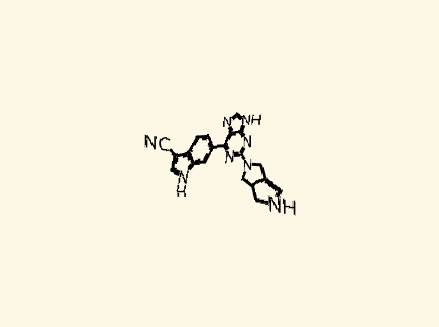 N#Cc1c[nH]c2cc(-c3nc(N4CC5=CNCC5C4)nc4[nH]cnc34)ccc12